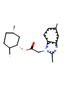 CCc1nc2cc(OC)ccc2n1CC(=O)O[C@@H]1C[C@H](C)CCC1C(C)C